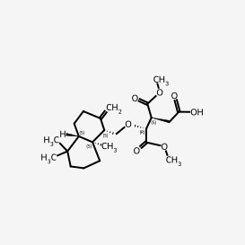 C=C1CC[C@H]2C(C)(C)CCC[C@]2(C)[C@H]1CO[C@@H](C(=O)OC)[C@H](CC(=O)O)C(=O)OC